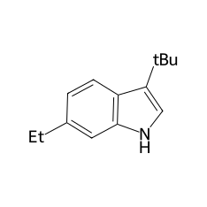 CCc1ccc2c(C(C)(C)C)c[nH]c2c1